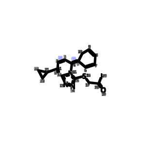 C=C(/C=C\C(=C1\C=CC=CC1)n1cnnc1SCC(=O)I)C1CC1